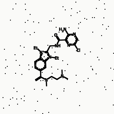 C=C(c1ccc2c(c1)n(CC)c(CNC(=O)c1nc(Cl)cnc1N)[n+]2CC)N(C)CCN(C)C